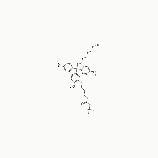 COc1ccc(C(SCCCCCCO)(c2ccc(OC)cc2)c2ccc(OC)c(CCCCCC(=O)OC(C)(C)C)c2)cc1